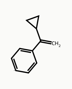 C=C(c1cc[c]cc1)C1CC1